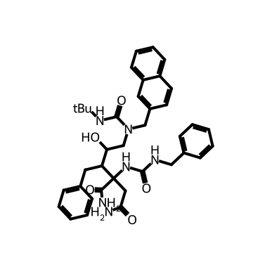 CC(C)(C)NC(=O)N(Cc1ccc2ccccc2c1)CC(O)C(Cc1ccccc1)C(CC(N)=O)(NC(=O)NCc1ccccc1)C(N)=O